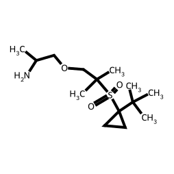 CC(N)COCC(C)(C)S(=O)(=O)C1(C(C)(C)C)CC1